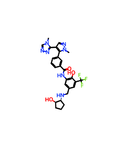 Cn1cnnc1-c1cnn(C)c1-c1cccc(C(=O)Nc2cc(CN[C@@H]3CCC[C@H]3O)cc(C(F)(F)F)c2O)c1